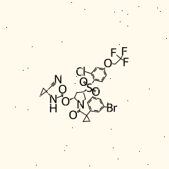 N#CC1(NC(=O)O[C@H]2C[C@@H](S(=O)(=O)c3ccc(OCC(F)(F)F)cc3Cl)CN2C(=O)C2(c3cccc(Br)c3)CC2)CC1